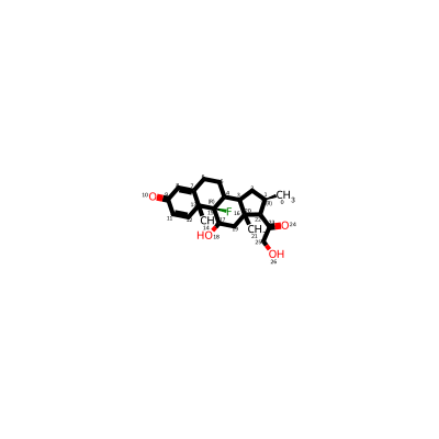 C[C@@H]1CC2C3CCC4=CC(=O)C=CC4(C)[C@@]3(F)C(O)CC2(C)C1C(=O)CO